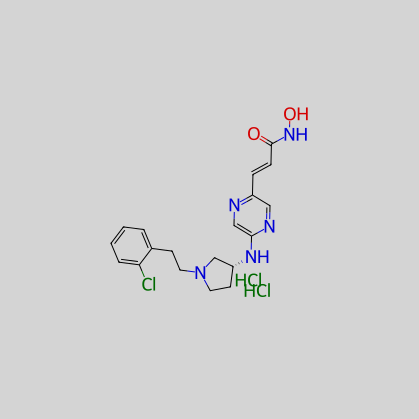 Cl.Cl.O=C(C=Cc1cnc(N[C@@H]2CCN(CCc3ccccc3Cl)C2)cn1)NO